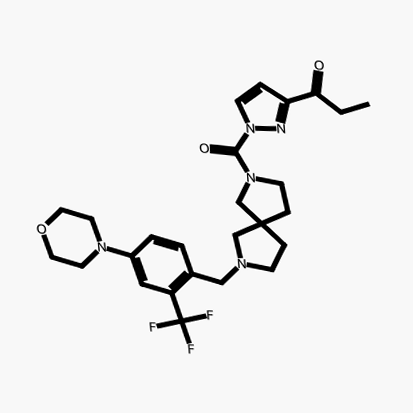 CCC(=O)c1ccn(C(=O)N2CCC3(CCN(Cc4ccc(N5CCOCC5)cc4C(F)(F)F)C3)C2)n1